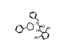 CC(C)c1cccc(C(C)C)c1NC(=O)N(Cc1ccccc1)[C@H]1CC[C@H](c2ccccc2)CC1